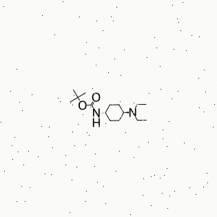 CCN(CC)[C@H]1CC[C@H](NC(=O)OC(C)(C)C)CC1